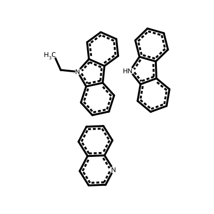 CCn1c2ccccc2c2ccccc21.c1ccc2c(c1)[nH]c1ccccc12.c1ccc2ncccc2c1